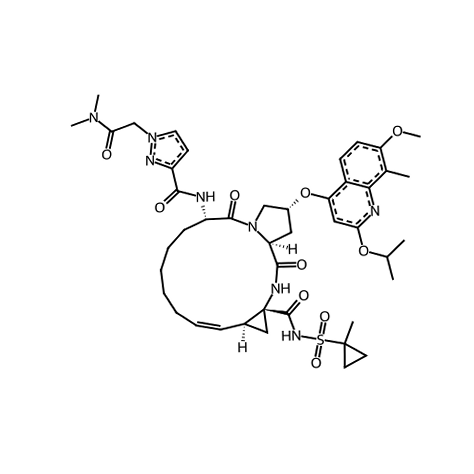 COc1ccc2c(O[C@@H]3C[C@H]4C(=O)N[C@]5(C(=O)NS(=O)(=O)C6(C)CC6)C[C@H]5/C=C\CCCCC[C@H](NC(=O)c5ccn(CC(=O)N(C)C)n5)C(=O)N4C3)cc(OC(C)C)nc2c1C